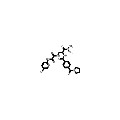 CN(C)C(=O)C(CNC(=O)C(=O)Nc1ccc(Cl)cn1)NC(=O)c1ccc(C(=O)N2CCCC2)cc1